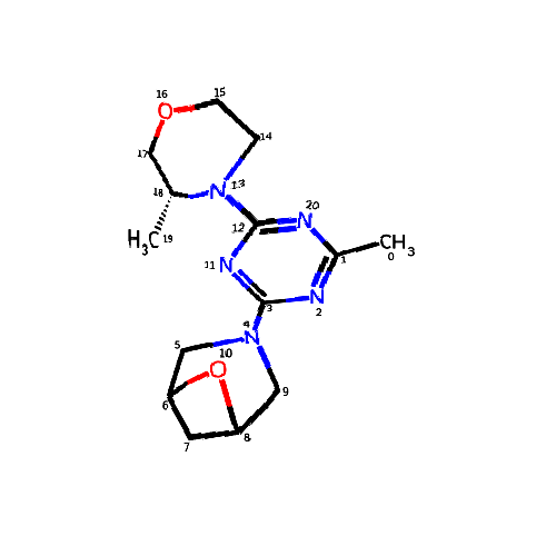 Cc1nc(N2CC3CC(C2)O3)nc(N2CCOC[C@H]2C)n1